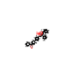 CC(O)(CC(O)(CCc1ccc(-c2ccc(C(=O)c3ccccc3)cc2)cc1)c1ccccc1)c1ccccc1